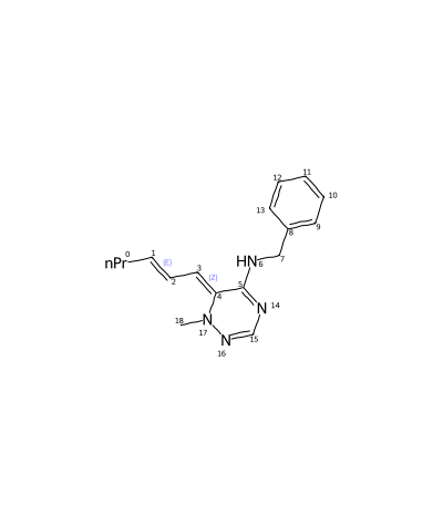 CCC/C=C/C=C1/C(NCc2ccccc2)=NC=NN1C